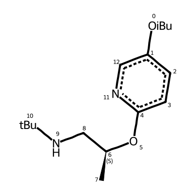 CC(C)COc1ccc(O[C@@H](C)CNC(C)(C)C)nc1